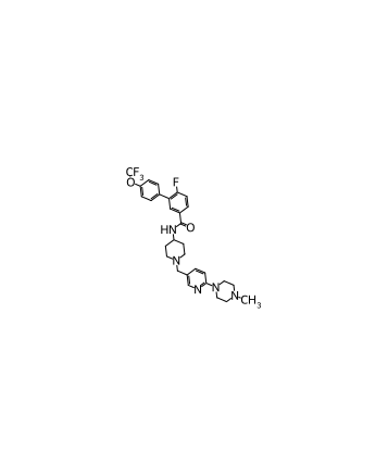 CN1CCN(c2ccc(CN3CCC(NC(=O)c4ccc(F)c(-c5ccc(OC(F)(F)F)cc5)c4)CC3)cn2)CC1